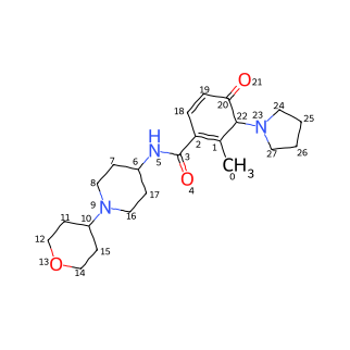 CC1=C(C(=O)NC2CCN(C3CCOCC3)CC2)C=CC(=O)C1N1CCCC1